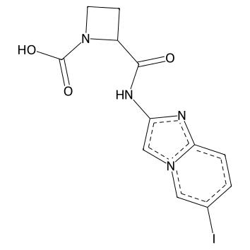 O=C(Nc1cn2cc(I)ccc2n1)C1CCN1C(=O)O